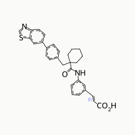 O=C(O)/C=C/c1cccc(NC(=O)C2(Cc3ccc(-c4ccc5ncsc5c4)cc3)CCCCC2)c1